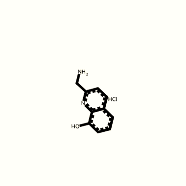 Cl.NCc1ccc2cccc(O)c2n1